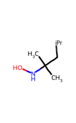 CC(C)CC(C)(C)NO